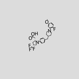 COc1ccc(F)c(N2CCC(Cc3ccc(N4C[C@H](C(F)(F)F)C[C@@H]4CC(=O)O)cc3)CC2)c1